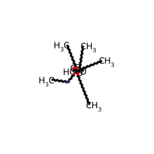 CCCCCCCC/C=C\CCCCCC(CCCCCCCCCCCCCCCCCC)C(C(=O)O)(C(=O)CCCCCCCCCCCCC)C(=O)C(CCCCCCCCCCCC)C(=O)CCCCCCCCCCC